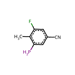 Cc1c(F)cc(C#N)cc1P